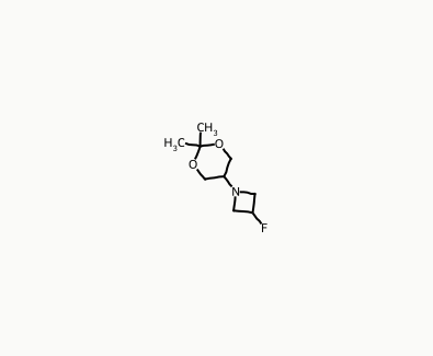 CC1(C)OCC(N2CC(F)C2)CO1